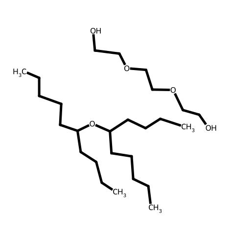 CCCCCC(CCCC)OC(CCCC)CCCCC.OCCOCCOCCO